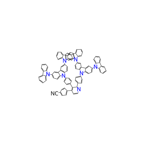 N#Cc1ccc(-c2ccnc(-c3ccc(-n4c5ccc(-n6c7ccccc7c7ccccc76)cc5c5cc(-n6c7ccccc7c7ccccc76)ccc54)cc3)c2-c2ccc(-n3c4ccc(-n5c6ccccc6c6ccccc65)cc4c4cc(-n5c6ccccc6c6ccccc65)ccc43)cc2)cc1